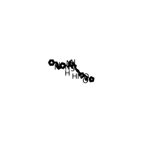 O=C(OC1CNC(C#Cc2cc3ncnc(Nc4ccc5c(cnn5Cc5ccccc5)c4)c3s2)C1)N1CCCC1